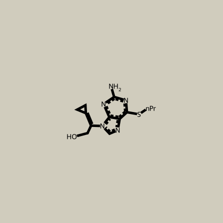 CCCSc1nc(N)nc2c1ncn2C(CO)=C1CC1